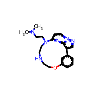 CN(C)CCN1CCNCCOc2cccc(c2)-c2cnn3ccc1nc23